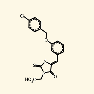 O=C(O)CN1C(=O)C(=Cc2cccc(OCc3ccc(Cl)cc3)c2)SC1=S